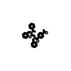 CC(=O)c1ccc(C(=O)N(CC(=O)N(Cc2ccccc2)C(C)c2ccccc2)Cc2ccccc2)cc1